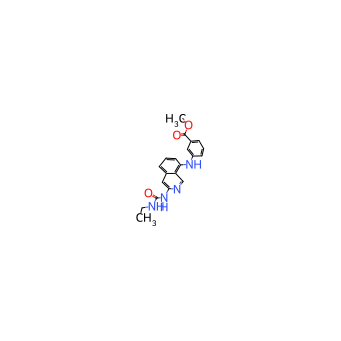 CCNC(=O)Nc1cc2cccc(Nc3cccc(C(=O)OC)c3)c2cn1